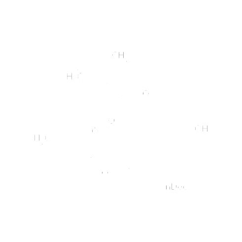 C=C(C)C(=O)OCCO.C=CC(=O)OCCCCCCCCCCCC